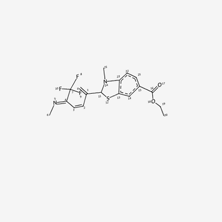 C=C(/C=C\C(=N/C)C(F)(F)F)C1Sc2cc(C(=O)OCC)ccc2N1C